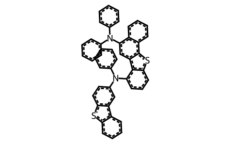 c1ccc(N(c2ccccc2)c2cc3c(sc4cccc(N(c5ccccc5)c5ccc6sc7ccccc7c6c5)c43)c3ccccc23)cc1